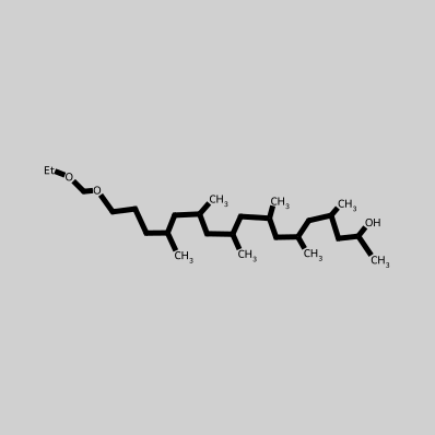 CCOCOCCCC(C)CC(C)CC(C)CC(C)CC(C)CC(C)CC(C)O